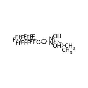 CC[C@H](C)CCCc1c(O)nc(-c2ccc(OCC(F)(F)C(F)(F)C(F)(F)C(F)(F)C(F)(F)C(F)(F)C(F)(F)F)cc2)nc1O